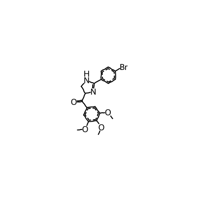 COc1cc(C(=O)C2CNC(c3ccc(Br)cc3)=N2)cc(OC)c1OC